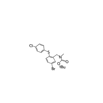 CN(Cc1cc(Br)ccc1Sc1ccc(Cl)cc1)C(=O)OC(C)(C)C